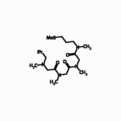 CSCCCN(C)C(=O)CN(C)C(=O)CN(C)C(=O)CN(C)CC(C)C